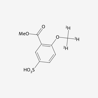 [2H]C([2H])([2H])Oc1ccc(S(=O)(=O)O)cc1C(=O)OC